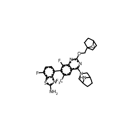 Nc1nc2c(-c3c(C(F)(F)F)cc4c(N5CC6CCC(C5)N6)nc(OCC56CCC(CC5)O6)nc4c3F)ccc(F)c2s1